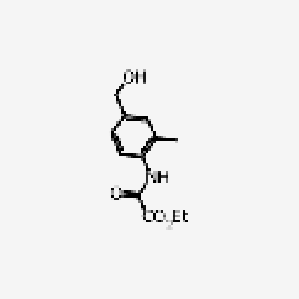 CCOC(=O)C(=O)Nc1ccc(CO)cc1C